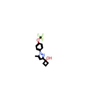 Cc1cc(C2(O)CCC2)nn1-c1ccc(OC(F)(F)F)cc1